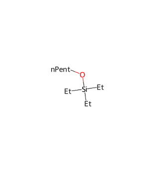 CCCCCO[Si](CC)(CC)CC